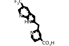 O=C(O)c1ccnc(Cc2cc3cc(C(F)(F)F)cnc3[nH]2)c1